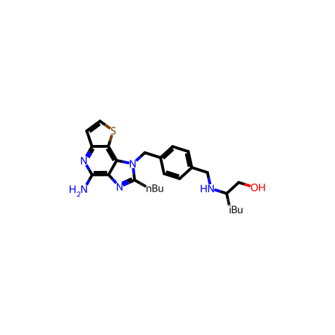 CCCCc1nc2c(N)nc3ccsc3c2n1Cc1ccc(CNC(CO)C(C)CC)cc1